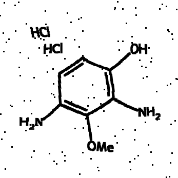 COc1c(N)ccc(O)c1N.Cl.Cl